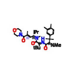 CN[C@H](C(=O)N[C@H](C(=O)N(C)[C@H](/C=C(\C)C(=O)N1CCOCC1)C(C)C)C(C)(C)C)C(C)(C)c1ccc(C)c(C)c1